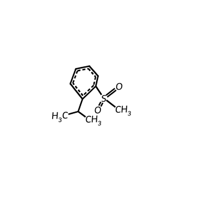 CC(C)c1ccccc1S(C)(=O)=O